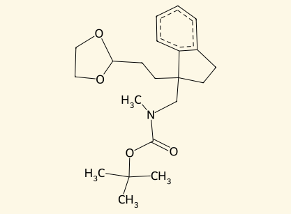 CN(CC1(CCC2OCCO2)CCc2ccccc21)C(=O)OC(C)(C)C